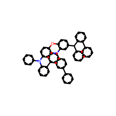 c1ccc(-c2ccc(N3c4cc(C(c5ccccc5)c5ccccc5-c5ccccc5)ccc4Oc4ccc(N(c5ccccc5)c5ccccc5-c5ccccc5)cc43)cc2)cc1